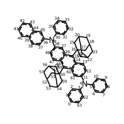 c1ccc(N(c2ccccc2)c2ccc3c(C45CC6CC(CC(C6)C4)C5)c4cc(N(c5ccccc5)c5ccc6ccccc6c5)ccc4c(C45CC6CC(CC(C6)C4)C5)c3c2)cc1